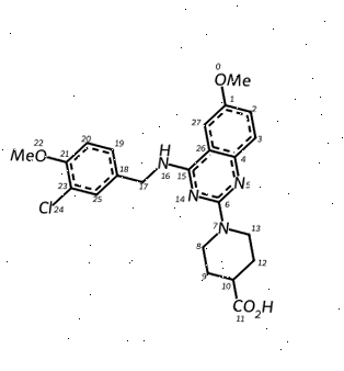 COc1ccc2nc(N3CCC(C(=O)O)CC3)nc(NCc3ccc(OC)c(Cl)c3)c2c1